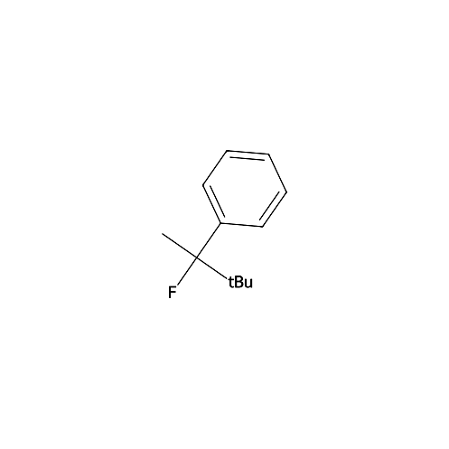 CC(C)(C)C(C)(F)c1ccccc1